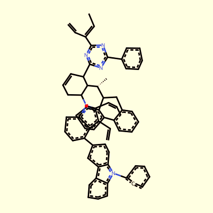 C=C/C(=C\C)c1nc(-c2ccccc2)nc(C2C=CCC(n3c(/C=C\C)c(C=C)c4c(-c5ccc6c(c5)c5ccccc5n6-c5ccccc5)cccc43)C2[C@H](C)C2Cc3ccccc3-c3ccccc32)n1